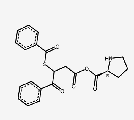 O=C(CC(SC(=O)c1ccccc1)C(=O)c1ccccc1)OC(=O)[C@@H]1CCCN1